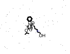 CC(C)OC(=O)[C@H](C)NP(=O)(CC/C=C/CO)Oc1ccccc1